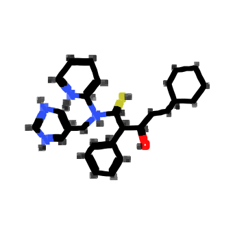 O=C(CCC1CCCCC1)C(C(=S)N(Cc1cncnc1)c1ccccn1)c1ccccc1